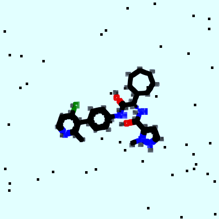 Cc1nccc(Cl)c1-c1ccc(NC(=O)[C@@H](NC(=O)c2ccnn2C)C2CCCCCC2)cc1